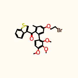 COc1ccc(-c2cc(OCCBr)cc(C)c2C(=O)c2csc3ccccc23)c(OC)c1OC